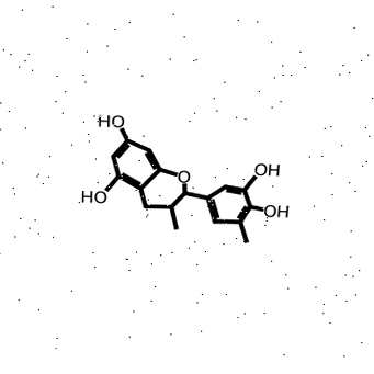 Cc1cc(C2Oc3cc(O)cc(O)c3CC2C)cc(O)c1O